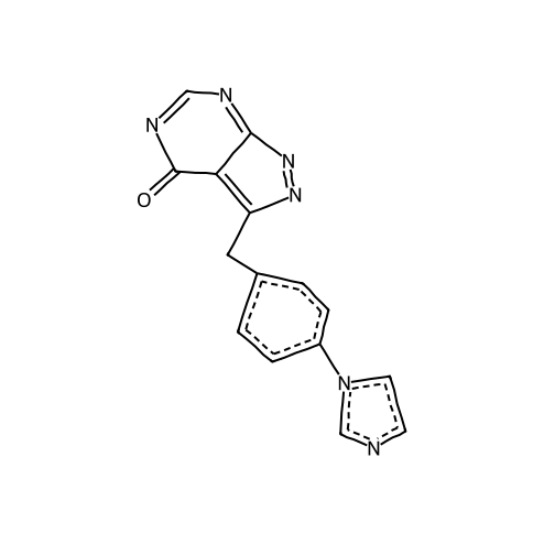 O=C1N=CN=C2N=NC(Cc3ccc(-n4ccnc4)cc3)=C12